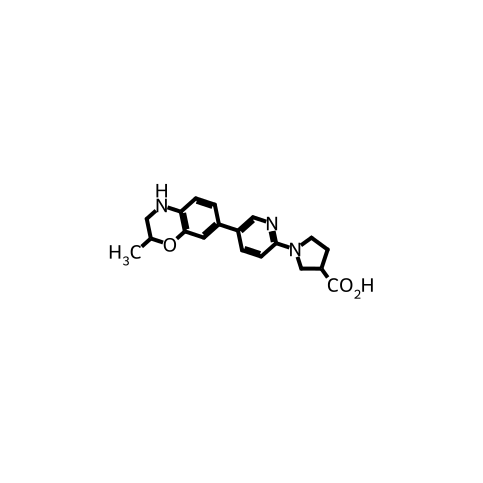 CC1CNc2ccc(-c3ccc(N4CCC(C(=O)O)C4)nc3)cc2O1